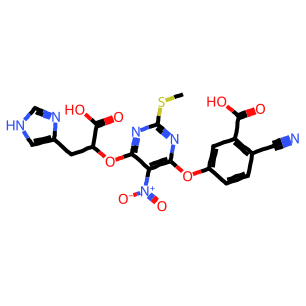 CSc1nc(Oc2ccc(C#N)c(C(=O)O)c2)c([N+](=O)[O-])c(OC(Cc2c[nH]cn2)C(=O)O)n1